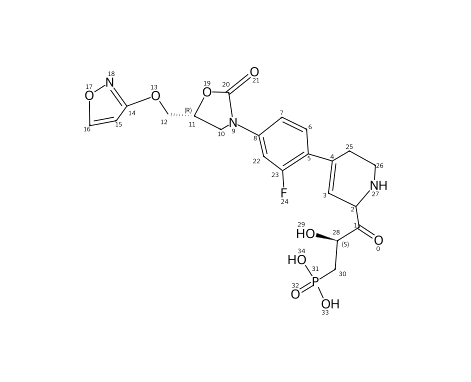 O=C(C1C=C(c2ccc(N3C[C@H](COc4ccon4)OC3=O)cc2F)CCN1)[C@H](O)CP(=O)(O)O